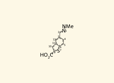 CNN=Cc1ccc2sc(C(=O)O)cc2c1